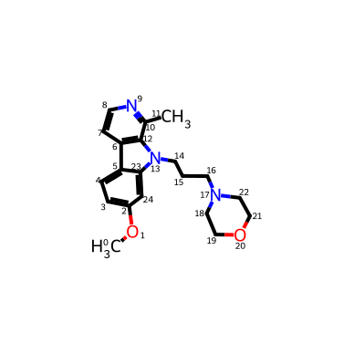 COc1ccc2c3ccnc(C)c3n(CCCN3CCOCC3)c2c1